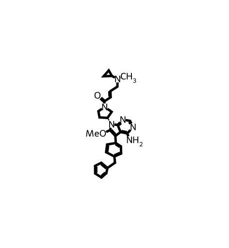 COc1c(-c2ccc(Cc3ccccc3)cc2)c2c(N)ncnc2n1[C@@H]1CCN(C(=O)/C=C/CN(C)C2CC2)C1